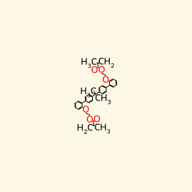 C=C(C)C(=O)OCCOc1ccccc1-c1ccc(C(C)(C)c2ccc(-c3ccccc3OCCOC(=O)C(=C)C)cc2)cc1